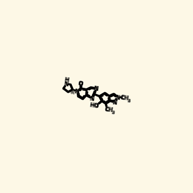 Cc1c(O)c(-c2ncc3c(=O)n([C@H]4CCNC4)ccc3n2)cc2cn(C)nc12